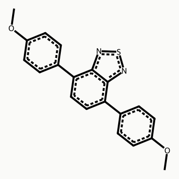 COc1ccc(-c2ccc(-c3ccc(OC)cc3)c3nsnc23)cc1